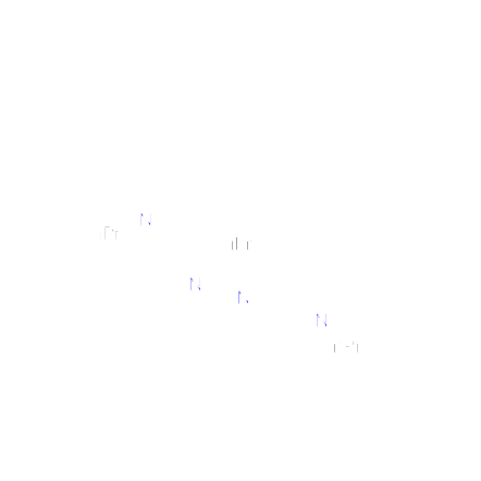 CCCN(CCN1C=CN(CCN(c2ccccc2)C(C)C)C1C(C)C)c1ccccc1